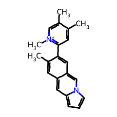 Cc1cc(-c2cc3cn4cccc4cc3cc2C)[n+](C)cc1C